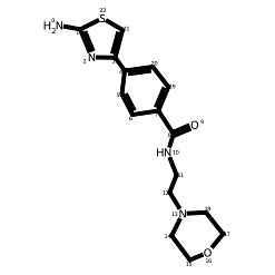 Nc1nc(-c2ccc(C(=O)NCCN3CCOCC3)cc2)cs1